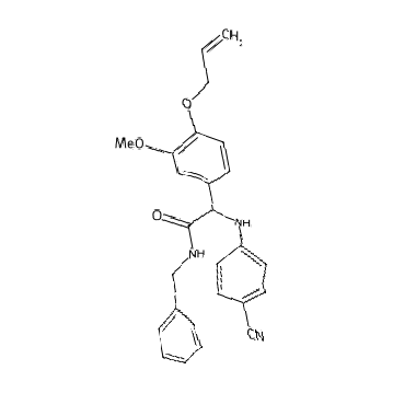 C=CCOc1ccc(C(Nc2ccc(C#N)cc2)C(=O)NCc2ccccc2)cc1OC